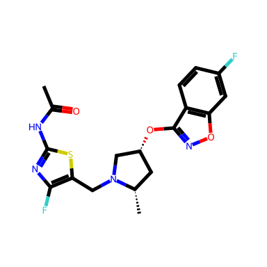 CC(=O)Nc1nc(F)c(CN2C[C@H](Oc3noc4cc(F)ccc34)C[C@@H]2C)s1